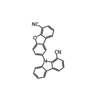 N#Cc1cccc2c1oc1ccc(-n3c4ccccc4c4cccc(C#N)c43)cc12